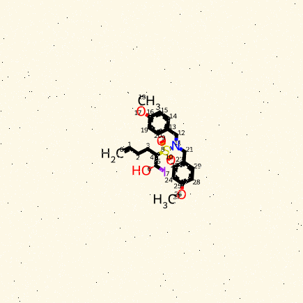 C=CCCC([C@@H](O)I)S(=O)(=O)N(Cc1ccc(OC)cc1)Cc1ccc(OC)cc1